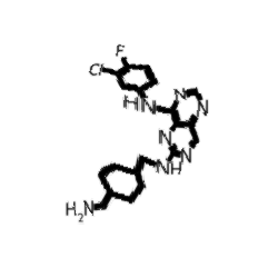 NCC1CCC(CNc2ncc3ncnc(Nc4ccc(F)c(Cl)c4)c3n2)CC1